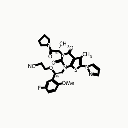 COc1ccc(F)cc1[C@H](Cn1c(=O)n([C@@H](C)C(=O)N2CCCC2)c(=O)c2c(C)c(-n3cccn3)sc21)OCCC#N